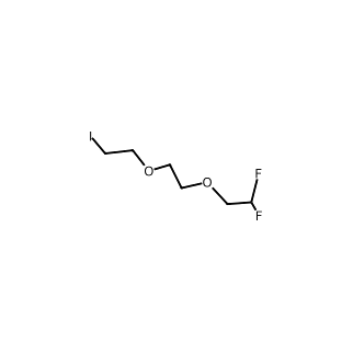 FC(F)COCCOCCI